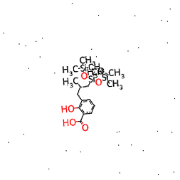 CC(Cc1cccc(C(=O)O)c1O)C[Si](C)(O[Si](C)(C)C)O[Si](C)(C)C